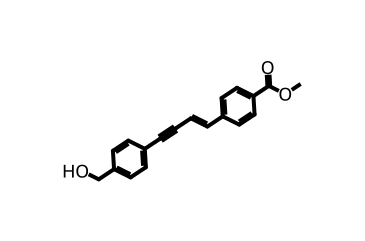 COC(=O)c1ccc(C=CC#Cc2ccc(CO)cc2)cc1